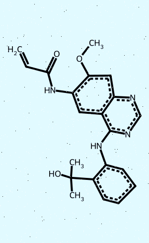 C=CC(=O)Nc1cc2c(Nc3ccccc3C(C)(C)O)ncnc2cc1OC